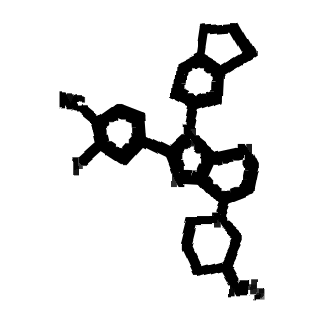 N#Cc1ccc(-c2nc3c(N4CCCC(N)C4)ccnc3n2-c2ccc3c(c2)CCC3)cc1F